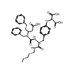 CCCCCNC(=O)[C@H](Cc1ccc(OC(C(=O)O)C(=O)O)cc1)NC(=O)N(Cc1ccccc1)C(CCc1ccccc1)CC(=O)O